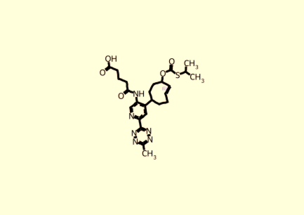 Cc1nnc(-c2cc(C3CC/C=C/C(OC(=O)SC(C)C)CC3)c(NC(=O)CCCC(=O)O)cn2)nn1